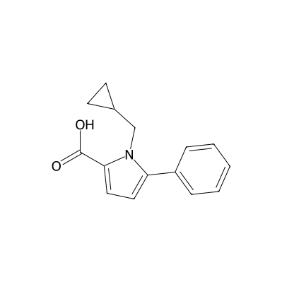 O=C(O)c1ccc(-c2ccccc2)n1CC1CC1